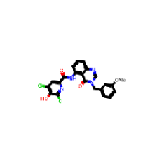 COc1cccc(Cn2cnc3cccc(NC(=O)c4cc(Cl)c(O)c(Cl)n4)c3c2=O)c1